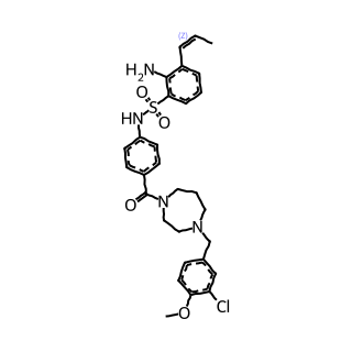 C/C=C\c1cccc(S(=O)(=O)Nc2ccc(C(=O)N3CCCN(Cc4ccc(OC)c(Cl)c4)CC3)cc2)c1N